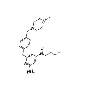 CCCCNc1cc(N)nc(Cc2ccc(CN3CCN(C)CC3)cc2)c1